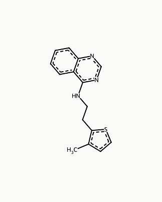 Cc1ccsc1CCNc1ncnc2ccccc12